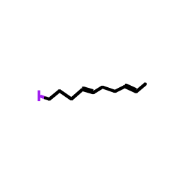 CC=CCCC=CCCCI